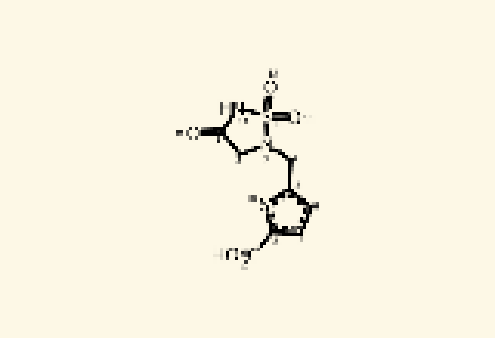 O=C1CN(Cc2ccc(C(=O)O)s2)S(=O)(=O)N1